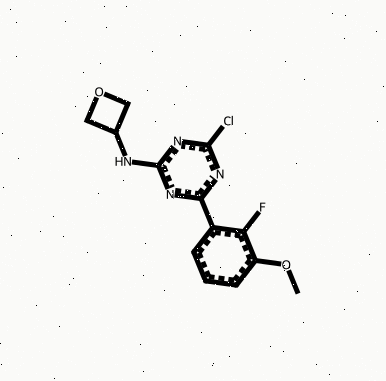 COc1cccc(-c2nc(Cl)nc(NC3COC3)n2)c1F